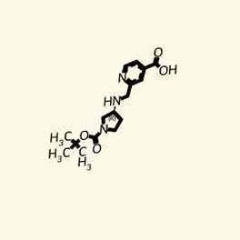 CC(C)(C)OC(=O)N1CC[C@@H](NCc2cc(C(=O)O)ccn2)C1